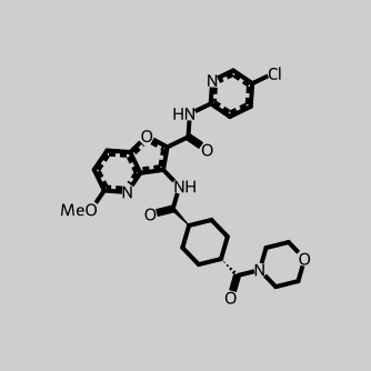 COc1ccc2oc(C(=O)Nc3ccc(Cl)cn3)c(NC(=O)[C@H]3CC[C@H](C(=O)N4CCOCC4)CC3)c2n1